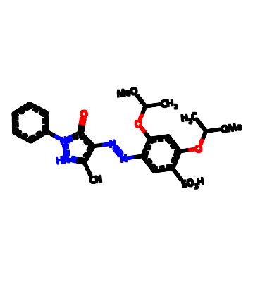 COC(C)Oc1cc(OC(C)OC)c(S(=O)(=O)O)cc1/N=N/c1c(C#N)[nH]n(-c2ccccc2)c1=O